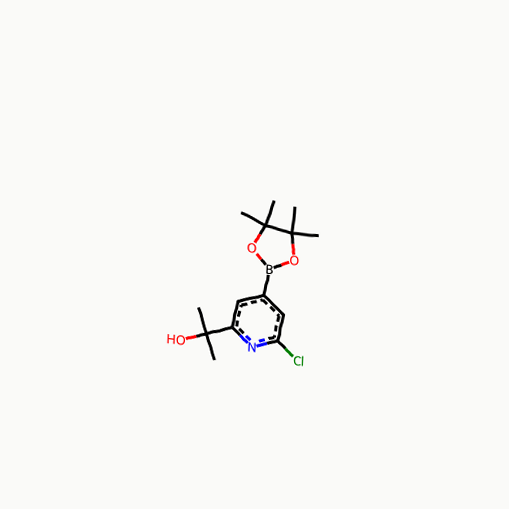 CC(C)(O)c1cc(B2OC(C)(C)C(C)(C)O2)cc(Cl)n1